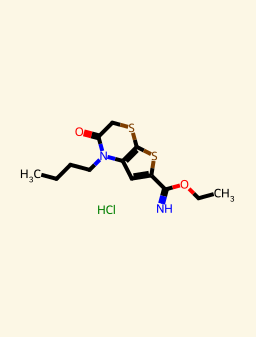 CCCCN1C(=O)CSc2sc(C(=N)OCC)cc21.Cl